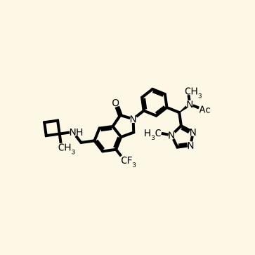 CC(=O)N(C)[C@H](c1cccc(N2Cc3c(cc(CNC4(C)CCC4)cc3C(F)(F)F)C2=O)c1)c1nncn1C